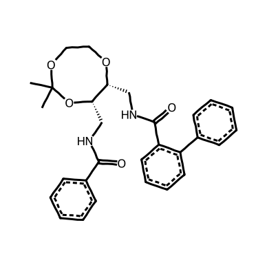 CC1(C)OCCO[C@H](CNC(=O)c2ccccc2-c2ccccc2)[C@H](CNC(=O)c2ccccc2)O1